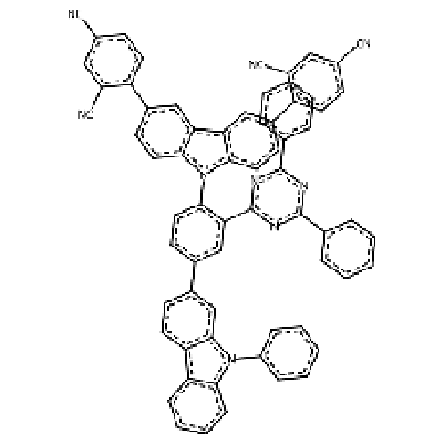 N#Cc1ccc(-c2ccc3c(c2)c2cc(-c4ccc(C#N)cc4C#N)ccc2n3-c2ccc(-c3ccc4c5ccccc5n(-c5ccccc5)c4c3)cc2-c2nc(-c3ccccc3)nc(-c3ccccc3)n2)c(C#N)c1